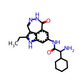 CCc1[nH]c2cc(NC(=O)C(N)C3CCCCC3)cc3c2c1C=NNC3=O